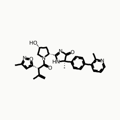 C=C(C)[C@@H](C(=O)N1C[C@H](O)C[C@@H]1C1=NC(=O)[C@@](C)(c2ccc(-c3cccnc3C)cc2)N1)c1cc(C)no1